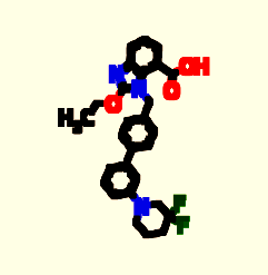 CCOc1nc2cccc(C(=O)O)c2n1Cc1ccc(-c2cccc(N3CCCC(F)(F)C3)c2)cc1